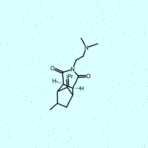 CC(C)/C=C1\C2C(C)CC1[C@@H]1C(=O)N(CCN(C)C)C(=O)[C@H]21